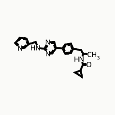 CC(Cc1ccc(-c2cnc(NCc3cccnc3)nc2)cc1)NC(=O)C1CC1